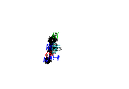 O=C(Nc1cccnc1)Oc1cnn(-c2ccc(Cl)cc2)c1C(F)(F)F